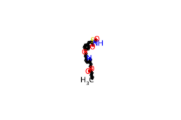 CCCCC(=O)OCCc1ccc(CCOc2ccc(CC3SC(=O)NC3=O)cc2)nc1